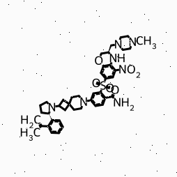 C=C(C)c1ccccc1[C@@H]1CCCN1C1CC2(CCN(c3ccc(C(N)=O)c(S(=O)(=O)c4cc5c(c([N+](=O)[O-])c4)N[C@H](CN4CCN(C)CC4)CO5)c3)CC2)C1